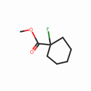 COC(=O)C1(F)CCCCC1